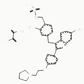 Cc1cc(Cc2c(-c3ccc(OCCN4CCCC4)cc3)sc3cc(O)ccc23)ccc1CNS(C)(=O)=O.O=C(O)C(=O)O